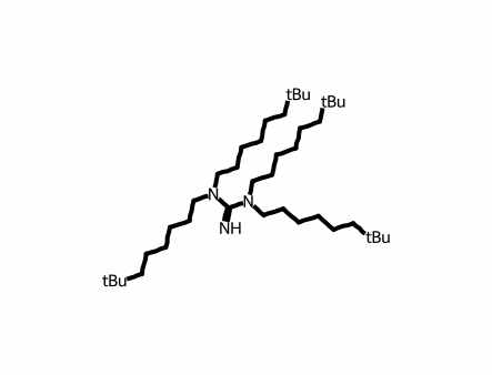 CC(C)(C)CCCCCCN(CCCCCCC(C)(C)C)C(=N)N(CCCCCCC(C)(C)C)CCCCCCC(C)(C)C